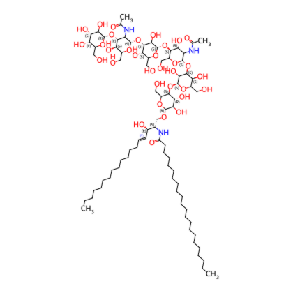 CCCCCCCCCCCCC/C=C/[C@@H](O)[C@H](CO[C@@H]1OC(CO)[C@@H](O[C@@H]2OC(CO)[C@H](O)[C@H](O[C@@H]3OC(CO)[C@@H](O[C@@H]4OC(CO)[C@H](O)[C@H](O[C@@H]5OC(CO)[C@@H](O)[C@H](O[C@@H]6OC(CO)[C@H](O)[C@H](O)C6O)C5NC(C)=O)C4O)[C@H](O)C3NC(C)=O)C2O)[C@H](O)C1O)NC(=O)CCCCCCCCCCCCCCCCCCCCC